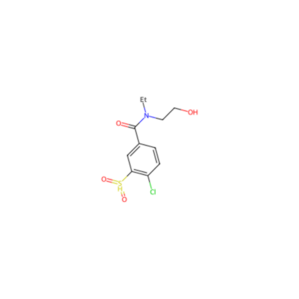 CCN(CCO)C(=O)c1ccc(Cl)c([SH](=O)=O)c1